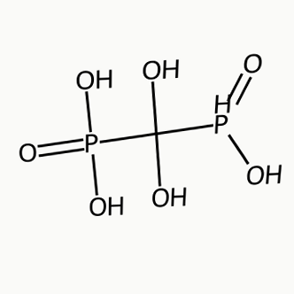 O=[PH](O)C(O)(O)P(=O)(O)O